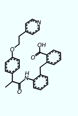 CC(C(=O)Nc1ccccc1Cc1ccccc1C(=O)O)c1ccc(OCCc2ccncc2)cc1